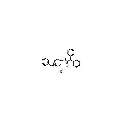 Cl.O=C(OC1CCN(Cc2ccccc2)CC1)C(c1ccccc1)c1ccccc1